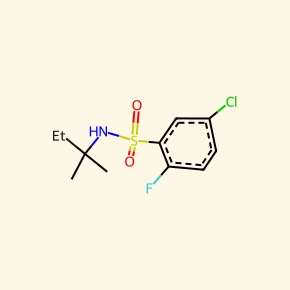 CCC(C)(C)NS(=O)(=O)c1cc(Cl)ccc1F